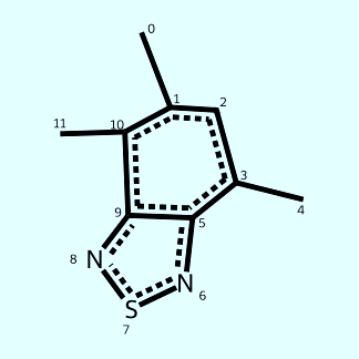 Cc1cc(C)c2nsnc2c1C